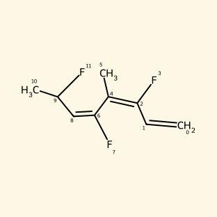 C=C/C(F)=C(C)\C(F)=C/C(C)F